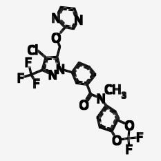 CN(C(=O)c1cccc(-n2nc(C(F)(F)F)c(Cl)c2COc2cnccn2)c1)c1ccc2c(c1)OC(F)(F)O2